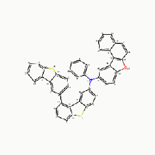 c1ccc(N(c2ccc3sc4cccc(-c5ccc6sc7ccccc7c6c5)c4c3c2)c2ccc3oc4ccc5ccccc5c4c3c2)cc1